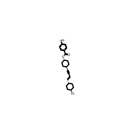 CCCc1ccc(C(=O)O[C@H]2CC[C@H](C#C/C=C/[C@H]3CC[C@H](CC)CC3)CC2)cc1